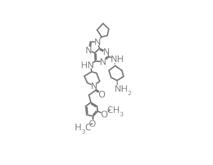 COc1ccc(CC(=O)N2CCC(Nc3nc(N[C@H]4CC[C@H](N)CC4)nc4c3ncn4C3CCCC3)CC2)cc1OC